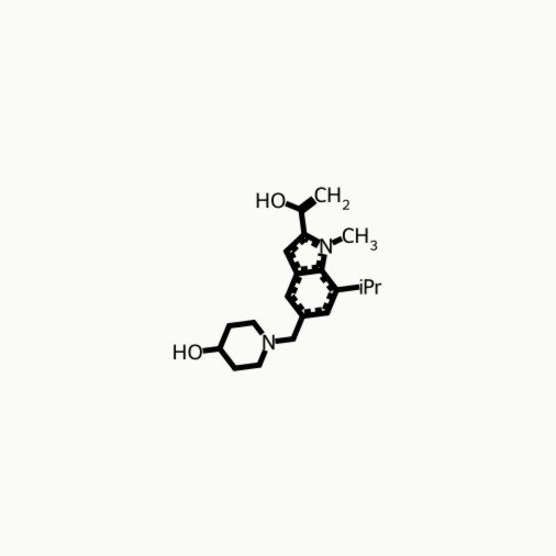 C=C(O)c1cc2cc(CN3CCC(O)CC3)cc(C(C)C)c2n1C